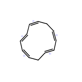 [C]1=C\C=C\C\C=C/C=C/C=C\C/1